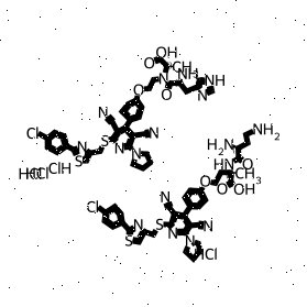 C[C@@H](C(=O)O)N(CCOc1ccc(-c2c(C#N)c(SCc3csc(-c4ccc(Cl)cc4)n3)nc(N3CCCC3)c2C#N)cc1)C(=O)[C@@H](N)Cc1c[nH]cn1.C[C@](CCOc1ccc(-c2c(C#N)c(SCc3csc(-c4ccc(Cl)cc4)n3)nc(N3CCCC3)c2C#N)cc1)(NC(=O)[C@@H](N)CCN)C(=O)O.Cl.Cl.Cl.Cl